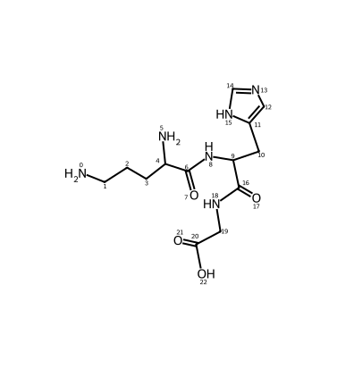 NCCCC(N)C(=O)NC(Cc1cnc[nH]1)C(=O)NCC(=O)O